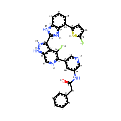 O=C(Cc1ccccc1)Nc1cncc(-c2ncc3[nH]nc(-c4nc5c(-c6ccc(F)s6)cccc5[nH]4)c3c2F)c1